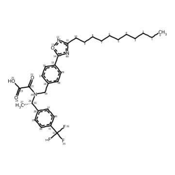 CCCCCCCCCCCc1noc(-c2ccc(CN(C(=O)C(=O)O)[C@@H](C)c3ccc(C(F)(F)F)cc3)cc2)n1